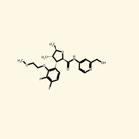 COCCOc1c([C@@H]2[C@H](C)[C@@H](C)O[C@H]2C(=O)Nc2ccnc(CO)c2)ccc(F)c1F